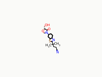 CC(C)(CCC#N)c1nc2ccc(N3CO[C@H](CO)C3=O)cc2s1